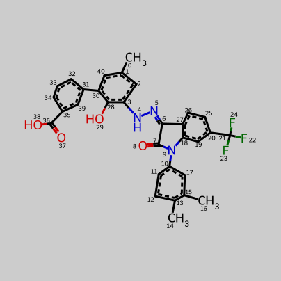 Cc1cc(N/N=C2\C(=O)N(c3ccc(C)c(C)c3)c3cc(C(F)(F)F)ccc32)c(O)c(-c2cccc(C(=O)O)c2)c1